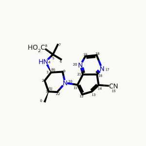 C[C@H]1C[C@@H](NC(C)(C)C(=O)O)CN(c2ccc(C#N)c3nccnc23)C1